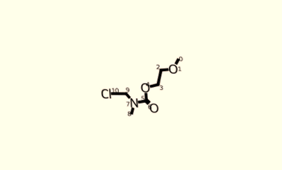 COCCOC(=O)N(C)CCl